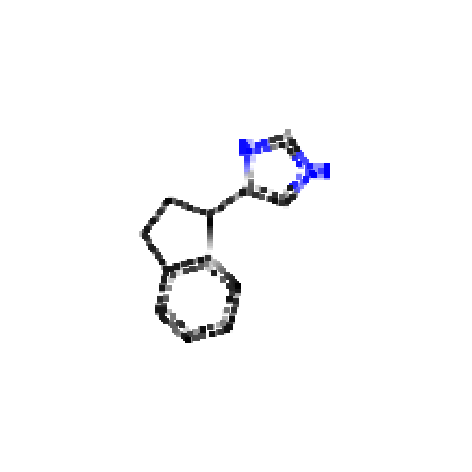 [c]1nc(C2CCc3ccccc32)c[nH]1